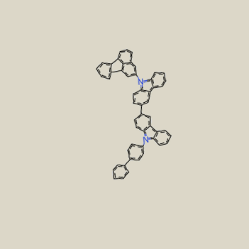 c1ccc(-c2ccc(-n3c4ccccc4c4cc(-c5ccc6c(c5)c5ccccc5n6-c5cc6c7c(cccc7c5)-c5ccccc5-6)ccc43)cc2)cc1